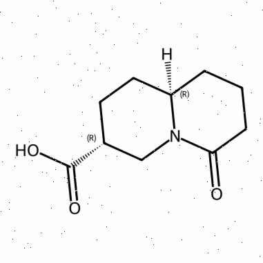 O=C(O)[C@@H]1CC[C@H]2CCCC(=O)N2C1